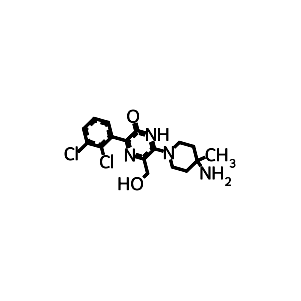 CC1(N)CCN(c2[nH]c(=O)c(-c3cccc(Cl)c3Cl)nc2CO)CC1